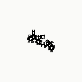 Cl.Cn1c(=O)n(CCCN2CCC(c3c[nH]c4ccccc34)CC2)c2ccccc21